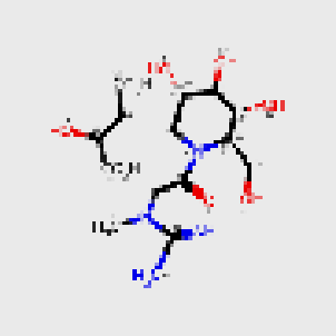 CN(CC(=O)N1C[C@H](O)[C@@H](O)[C@H](O)[C@H]1CO)C(=N)N.O=C(O)CC(O)C(=O)O